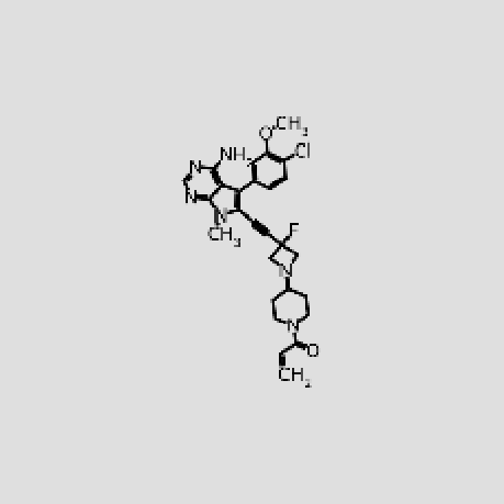 C=CC(=O)N1CCC(N2CC(F)(C#Cc3c(-c4ccc(Cl)c(OC)c4)c4c(N)ncnc4n3C)C2)CC1